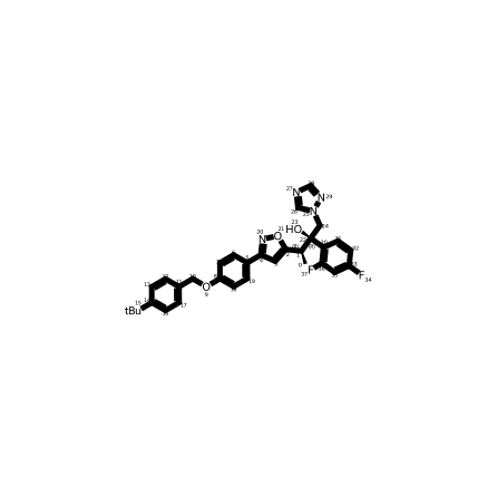 C[C@@H](c1cc(-c2ccc(OCc3ccc(C(C)(C)C)cc3)cc2)no1)[C@](O)(Cn1cncn1)c1ccc(F)cc1F